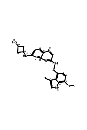 COc1ccc(CNc2cnc3ccc(NC4CC(O)C4)nc3n2)c2c(C)c[nH]c12